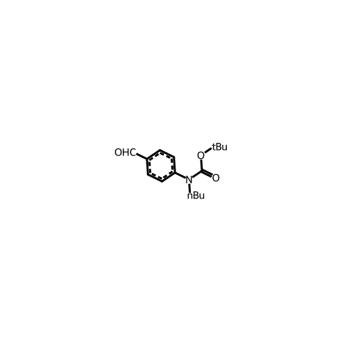 CCCCN(C(=O)OC(C)(C)C)c1ccc(C=O)cc1